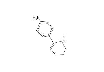 C[C@@H]1CCCC=C1c1ccc(N)cc1